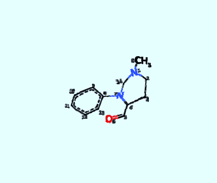 CN1CCC(C=O)N(c2ccccc2)C1